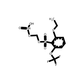 CCSc1cccc(OC(F)(F)F)c1S(=O)(=O)OCO[PH](=O)O